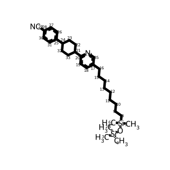 C[Si](C)(C)O[Si](C)(C)CCCCCCCCCc1ccc(C2CCC(c3ccc(C#N)cc3)CC2)nc1